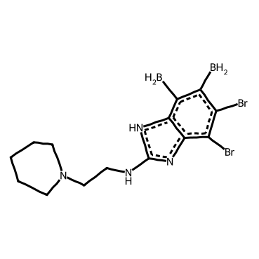 Bc1c(Br)c(Br)c2nc(NCCN3CCCCC3)[nH]c2c1B